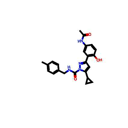 CC(=O)Nc1ccc(O)c(-c2cc(C3CC3)n(C(=O)NCc3ccc(C)cc3)n2)c1